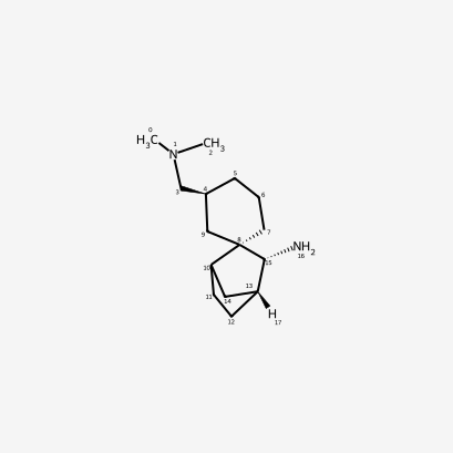 CN(C)C[C@H]1CCC[C@@]2(C1)C1CC[C@H](C1)[C@H]2N